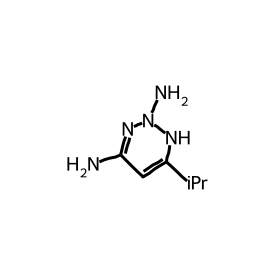 CC(C)C1=CC(N)=NN(N)N1